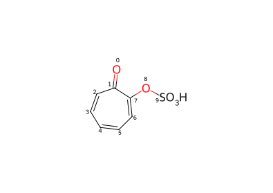 O=c1cccccc1OS(=O)(=O)O